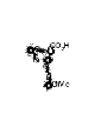 COc1ccccc1COCCCOc1ccc(C2CCN(C(=O)O)CC2OCCOc2ccccc2CCO)cc1